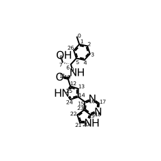 Cc1cccc([C@@H](CO)NC(=O)c2cc(-c3ncnc4[nH]ccc34)c[nH]2)c1